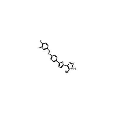 N#Cc1[nH]nnc1-c1ccc(-c2ccc(OCc3ccc(F)c(F)c3)cc2)s1